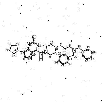 Clc1nc(NN2CCC(CCCN(Cc3ccccc3)Cc3ccccc3)CC2)c2ncn(C3CCCC3)c2n1